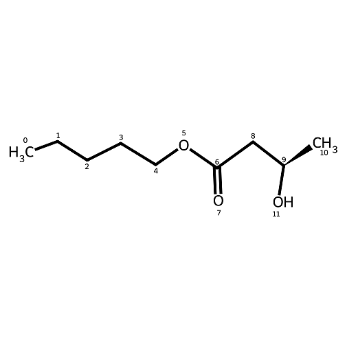 CCCCCOC(=O)C[C@@H](C)O